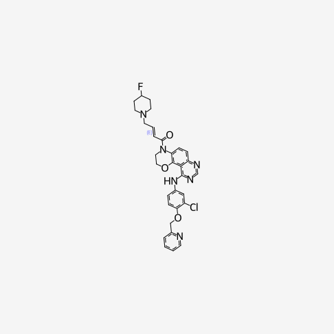 O=C(/C=C/CN1CCC(F)CC1)N1CCOc2c1ccc1ncnc(Nc3ccc(OCc4ccccn4)c(Cl)c3)c21